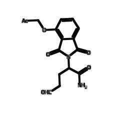 CC(=O)COc1cccc2c1C(=O)N(C(CCC=O)C(N)=O)C2=O